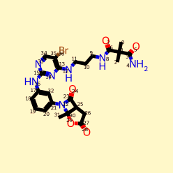 CC(C)(C(N)=O)C(=O)NCCCNc1nc(Nc2cccc(N3C(=O)C4CC(=O)OC43C)c2)ncc1Br